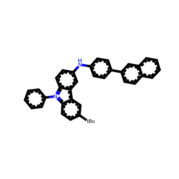 CC(C)(C)c1ccc2c(c1)c1cc(Nc3ccc(-c4ccc5ccccc5c4)cc3)ccc1n2-c1ccccc1